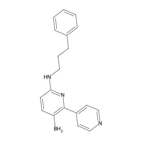 Bc1ccc(NCCCc2ccccc2)nc1-c1ccncc1